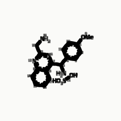 COc1ccc(C(N)c2nc(CN)nc3ccccc23)cc1.O=S(=O)(O)O